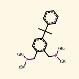 CC(C)(c1ccccc1)c1ccc(CP(C(C)(C)C)C(C)(C)C)c(CP(C(C)(C)C)C(C)(C)C)c1